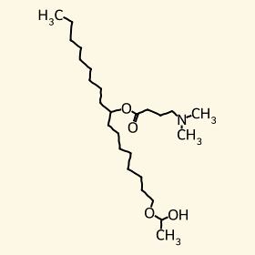 CCCCCCCCCC(CCCCCCCCOC(C)O)OC(=O)CCCN(C)C